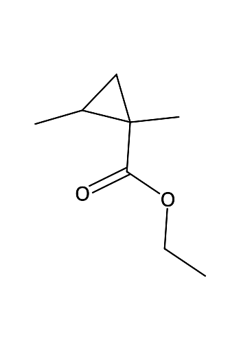 CCOC(=O)C1(C)CC1C